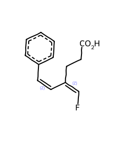 O=C(O)CCC(/C=C\c1ccccc1)=C/F